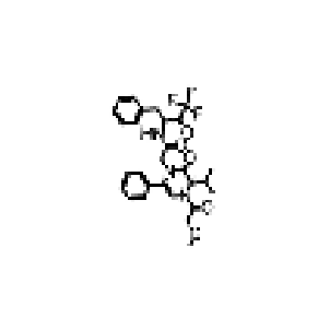 COCC(=O)N1C=C(c2ccccc2)N(CC(=O)NC(Cc2ccccc2)C(=O)C(F)(F)F)C(=O)[C@H]1C(C)C